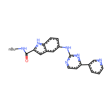 CCCCNC(=O)c1cc2cc(Nc3nccc(-c4cccnc4)n3)ccc2[nH]1